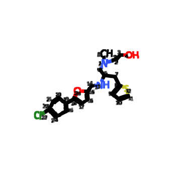 CN(CCO)CC(Cc1cccs1)NCc1ccc(-c2ccc(Cl)cc2)o1